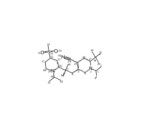 CC(C)N1CC(CC(C)(C)C2CC(S(C)(=O)=O)CCN2C(C)C)C(C#N)CC1C(C)(C)C